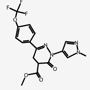 COC(=O)C1CC(c2ccc(OC(F)(F)F)cc2)=NN(c2cnn(C)c2)C1=O